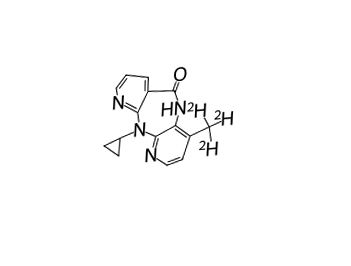 [2H]C([2H])([2H])c1ccnc2c1NC(=O)c1cccnc1N2C1CC1